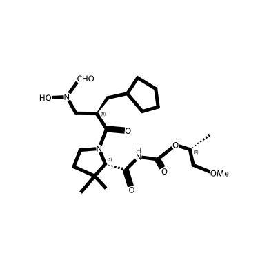 COC[C@@H](C)OC(=O)NC(=O)[C@H]1N(C(=O)[C@H](CC2CCCC2)CN(O)C=O)CCC1(C)C